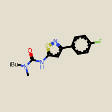 CCC(C)N(C)C(=O)Nc1cc(-c2ccc(F)cc2)ns1